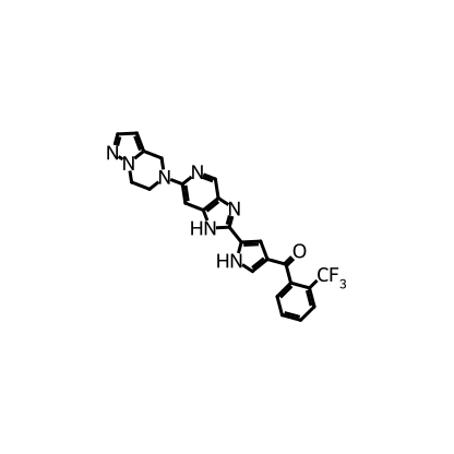 O=C(c1c[nH]c(-c2nc3cnc(N4CCn5nccc5C4)cc3[nH]2)c1)c1ccccc1C(F)(F)F